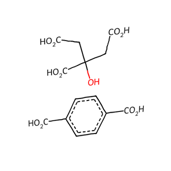 O=C(O)CC(O)(CC(=O)O)C(=O)O.O=C(O)c1ccc(C(=O)O)cc1